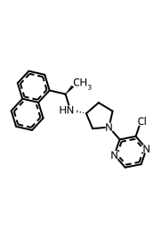 C[C@@H](N[C@@H]1CCN(c2nccnc2Cl)C1)c1cccc2ccccc12